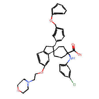 O=C(O)C1(Nc2cccc(Cl)c2)CCC2(CC1)c1cc(OCCN3CCOCC3)ccc1CC2c1cccc(Oc2ccccc2)c1